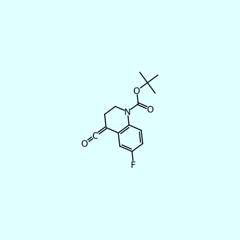 CC(C)(C)OC(=O)N1CCC(=C=O)c2cc(F)ccc21